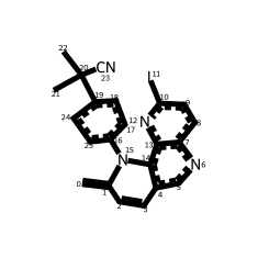 C=C1C=Cc2cnc3ccc(I)nc3c2N1c1ccc(C(C)(C)C#N)cc1